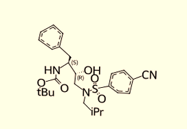 CC(C)CN(C[C@@H](O)[C@H](Cc1ccccc1)NC(=O)OC(C)(C)C)S(=O)(=O)c1ccc(C#N)cc1